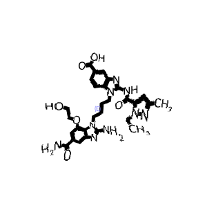 CCn1nc(C)cc1C(=O)Nc1nc2cc(C(=O)O)ccc2n1C/C=C/Cn1c(N)nc2cc(C(N)=O)cc(OCCO)c21